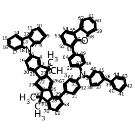 CC1(C)c2cc(-n3c4ccccc4c4ccccc43)ccc2-c2cc3c(cc21)-c1c(-c2ccc(N(c4ccc(-c5ccccc5)cc4)c4ccc(-c5cccc6c5oc5ccccc56)cc4)cc2)cccc1C3(C)C